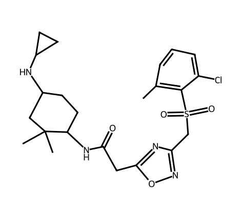 Cc1cccc(Cl)c1S(=O)(=O)Cc1noc(CC(=O)NC2CCC(NC3CC3)CC2(C)C)n1